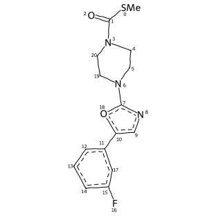 CSC(=O)N1CCN(c2ncc(-c3cccc(F)c3)o2)CC1